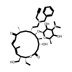 C#CCN(CC[C@H]1C[C@@H](C)C(=O)/C=C/C(C)=C/[C@H](CO)[C@@H](CC)OC(=O)C[C@@H](O)[C@H](C)[C@H]1O[C@@H]1O[C@H](C)C(O)C(N(C)C)C1O)Cc1ccccc1